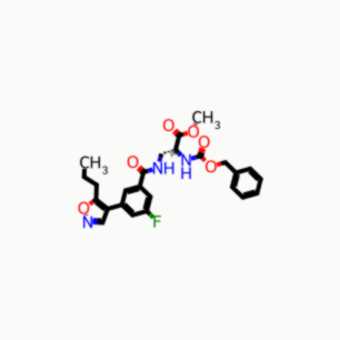 CCCc1oncc1-c1cc(F)cc(C(=O)NC[C@@H](NC(=O)OCc2ccccc2)C(=O)OC)c1